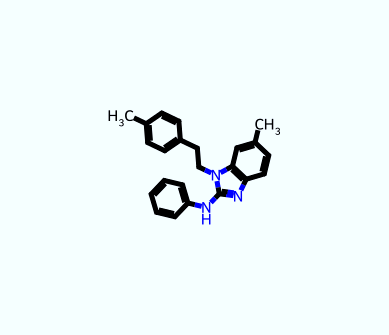 Cc1ccc(CCn2c(Nc3ccccc3)nc3ccc(C)cc32)cc1